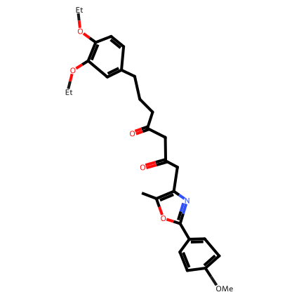 CCOc1ccc(CCCC(=O)CC(=O)Cc2nc(-c3ccc(OC)cc3)oc2C)cc1OCC